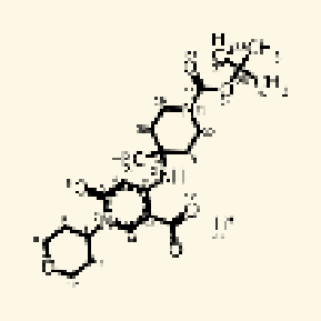 CC1(Nc2cc(=O)n(C3CCOCC3)cc2C(=O)[O-])CCN(C(=O)OC(C)(C)C)CC1.[Li+]